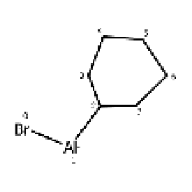 [Br][Al][CH]1CCCCC1